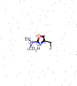 CCN(C(=O)O)c1nc(CI)co1